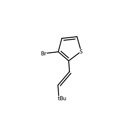 CC(C)(C)/C=C/c1sccc1Br